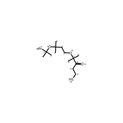 CCCC(C)(C)OC(C)(C)CCOC(C)(C)C(=O)CCS